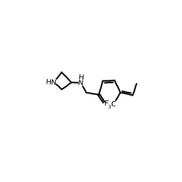 C=C(/C=C\C(=C/C)C(F)(F)F)CNC1CNC1